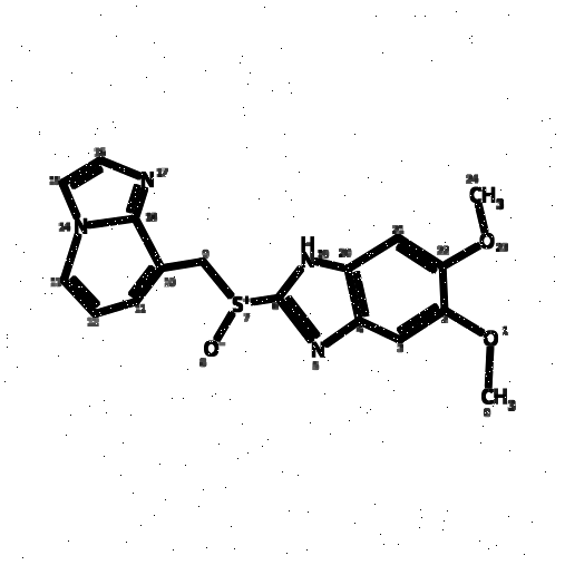 COc1cc2nc([S+]([O-])Cc3cccn4ccnc34)[nH]c2cc1OC